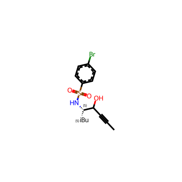 CC#CC(O)[C@@H](NS(=O)(=O)c1ccc(Br)cc1)[C@@H](C)CC